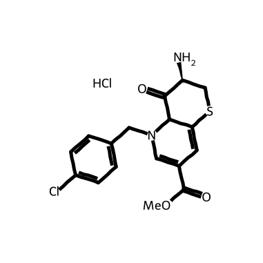 COC(=O)C1=CN(Cc2ccc(Cl)cc2)C2C(=O)[C@@H](N)CSC2=C1.Cl